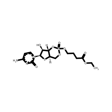 CCOC(=O)CCCOP1(=O)OC[C@H]2S[C@@H](n3ccc(N)nc3=O)[C@@H](O)[C@@H]2O1